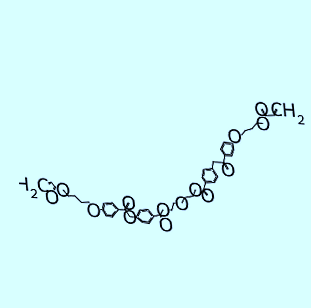 C=CC(=O)OCCCCOc1ccc(C(=O)Cc2ccc(C(=O)OCCOCCOC(=O)c3ccc(OC(=O)c4ccc(OCCCCOC(=O)C=C)cc4)cc3)cc2)cc1